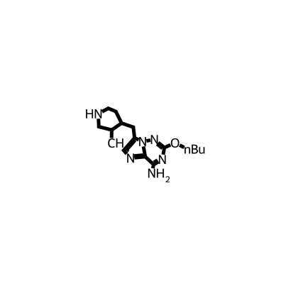 CCCCOc1nc(N)c2ncc(CC3CCNCC3C)n2n1